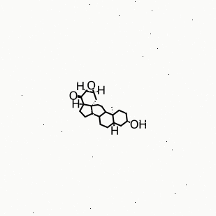 C[C@]12CC[C@@H](O)C[C@@H]1CCC1C3CC[C@@H]4C(=O)[C@H]5O[C@H]5C[C@]34CCC12